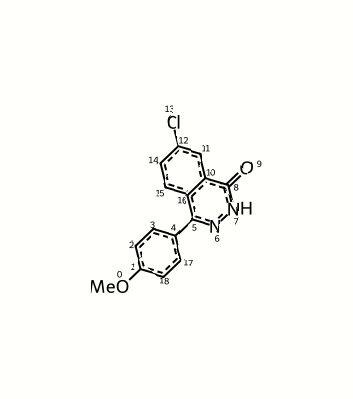 COc1ccc(-c2n[nH]c(=O)c3cc(Cl)ccc23)cc1